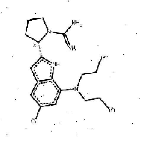 CC(C)CCN(CCC(C)C)c1cc(Cl)cc2cc([C@@H]3CCCN3C(=N)N)[nH]c12